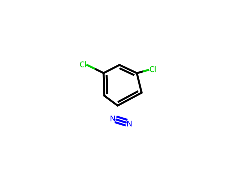 Clc1cccc(Cl)c1.N#N